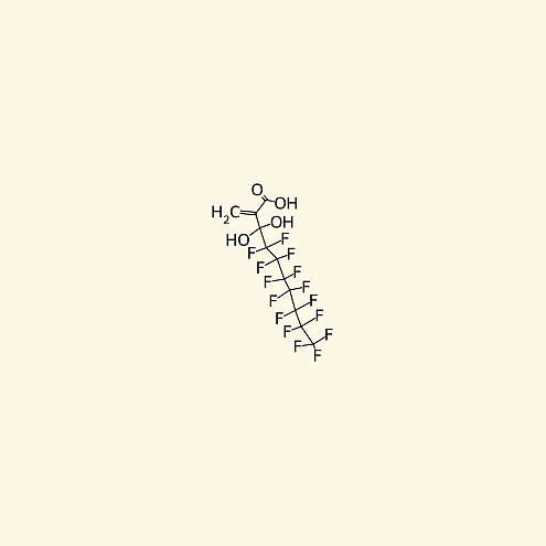 C=C(C(=O)O)C(O)(O)C(F)(F)C(F)(F)C(F)(F)C(F)(F)C(F)(F)C(F)(F)C(F)(F)F